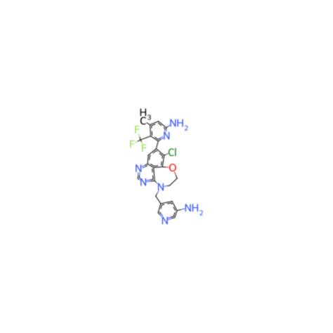 Cc1cc(N)nc(-c2cc3ncnc4c3c(c2Cl)OCCN4Cc2cncc(N)c2)c1C(F)(F)F